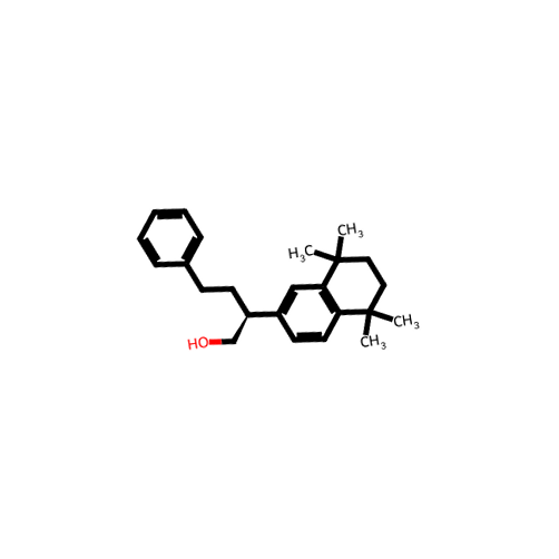 CC1(C)CCC(C)(C)c2cc([C@@H](CO)CCc3ccccc3)ccc21